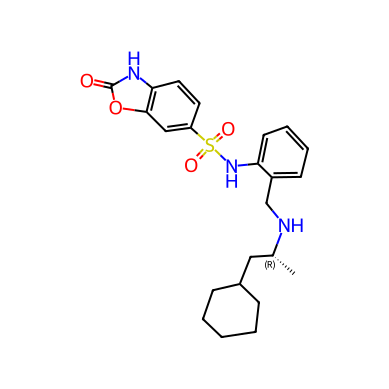 C[C@H](CC1CCCCC1)NCc1ccccc1NS(=O)(=O)c1ccc2[nH]c(=O)oc2c1